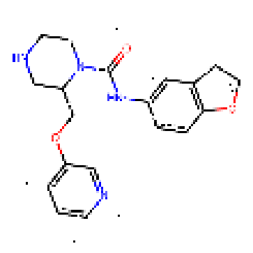 O=C(Nc1ccc2c(c1)CCO2)N1CCNCC1COc1cccnc1